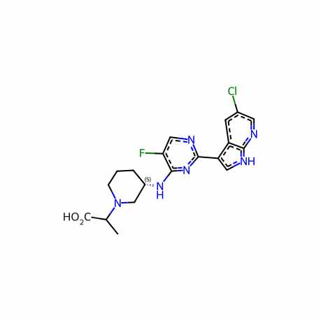 CC(C(=O)O)N1CCC[C@H](Nc2nc(-c3c[nH]c4ncc(Cl)cc34)ncc2F)C1